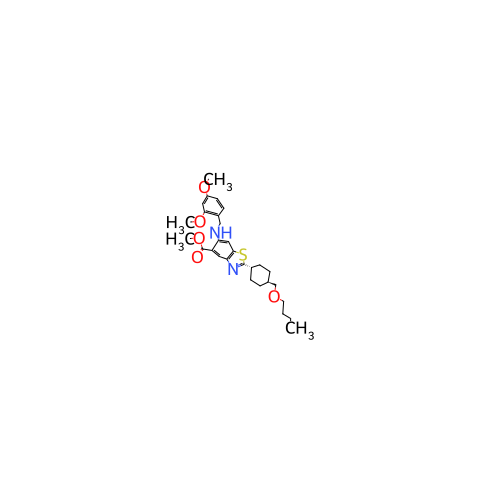 CCCCOC[C@H]1CC[C@H](c2nc3cc(C(=O)OC)c(NCc4ccc(OC)cc4OC)cc3s2)CC1